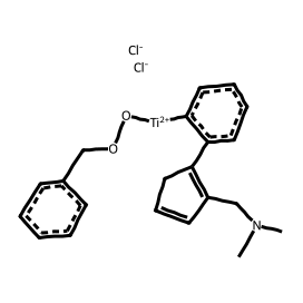 CN(C)CC1=C(c2cccc[c]2[Ti+2][O]OCc2ccccc2)CC=C1.[Cl-].[Cl-]